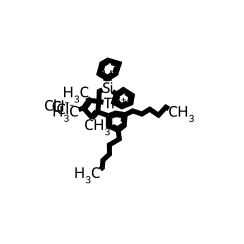 CCCCCCc1cc(CCCCCC)cc(C2=C(C)C(C)=C(C)[C]2([Ti+3])C[SiH](c2ccccc2)c2ccccc2)c1.[Cl-].[Cl-].[Cl-]